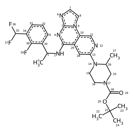 CC(Nc1nc2nccn2c2cnc(N3CCN(C(=O)OC(C)(C)C)CC3C)cc12)c1cccc(C(F)F)c1F